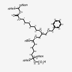 CCCCCCCCCC(CCCCCC)OC(=O)OCCCCCCOC(COCc1ccccc1)COC(CCCC)CCCCC(CCCCCC)(CCCCCC)OC(=O)O